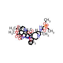 CCOP(=O)(CC(=O)N[C@@]1(CC)C[C@@H]2CN(CCc3c([nH]c4ccccc34)[C@@](C(=O)OC)(c3cc4c(cc3OC)N(C=O)[C@H]3[C@@](O)(C(=O)OC)[C@H](OC(C)=O)[C@]5(CC)C=CCN6CC[C@]43[C@@H]65)C2)C1)OCC